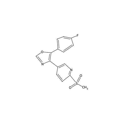 CS(=O)(=O)c1ccc(-c2ncoc2-c2ccc(F)cc2)cn1